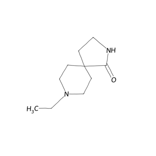 CCN1CCC2(CCNC2=O)CC1